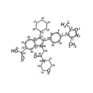 Cc1noc(C)c1-c1ccc(-c2c(C3CCCCC3)c3ccc(C(=O)O)cc3n2CC(=O)N2CCOCC2)cc1